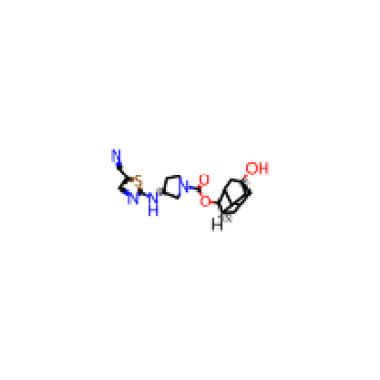 N#Cc1cnc(N[C@@H]2CCN(C(=O)OC3C4CC5C[C@H]3C[C@@](O)(C5)C4)C2)s1